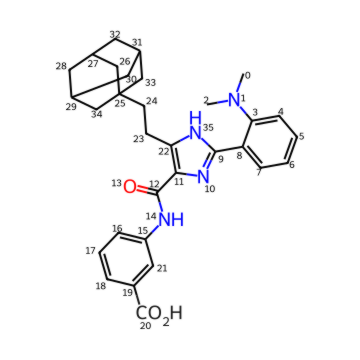 CN(C)c1ccccc1-c1nc(C(=O)Nc2cccc(C(=O)O)c2)c(CCC23CC4CC(CC(C4)C2)C3)[nH]1